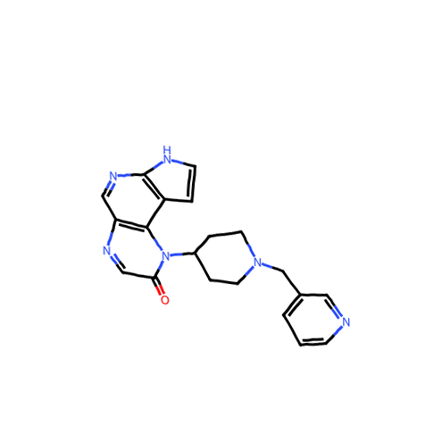 O=c1cnc2cnc3[nH]ccc3c2n1C1CCN(Cc2cccnc2)CC1